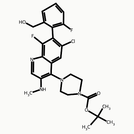 CNc1cnc2c(F)c(-c3c(F)cccc3CO)c(Cl)cc2c1N1CCN(C(=O)OC(C)(C)C)CC1